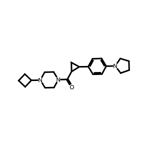 O=C(C1CC1c1ccc(N2CCCC2)cc1)N1CCN(C2CCC2)CC1